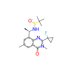 Cc1cc([C@@H](C)N[S+]([O-])C(C)(C)C)c2nc(C3(F)CC3)n(C)c(=O)c2c1